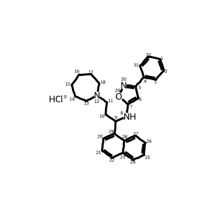 Cl.c1ccc(-c2cc(NC(CCN3CCCCCC3)c3cccc4ccccc34)on2)cc1